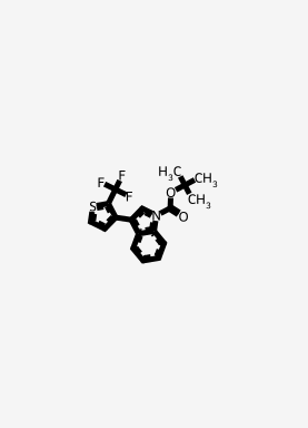 CC(C)(C)OC(=O)n1cc(-c2ccsc2C(F)(F)F)c2ccccc21